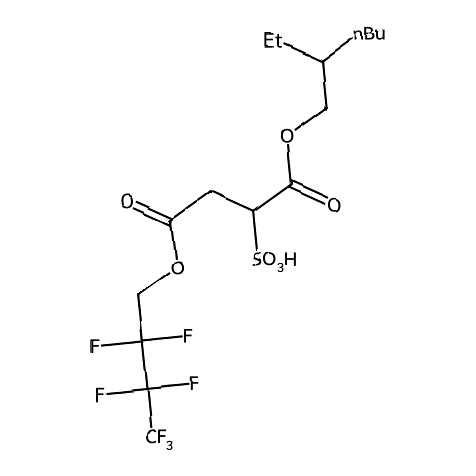 CCCCC(CC)COC(=O)C(CC(=O)OCC(F)(F)C(F)(F)C(F)(F)F)S(=O)(=O)O